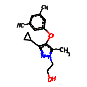 Cc1c(Oc2cc(C#N)cc(C#N)c2)c(C2CC2)nn1CCO